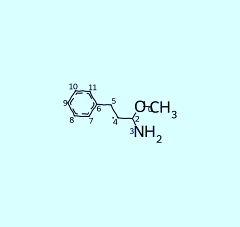 COC(N)[CH]Cc1ccccc1